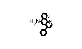 Nc1cc2c(-c3ccccc3)ccnc2c2ncccc12